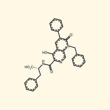 O=C(N[C@H](Cc1ccccc1)C(=O)O)c1ncc2c(cc(-c3ccccc3)c(=O)n2Cc2ccccc2)c1O